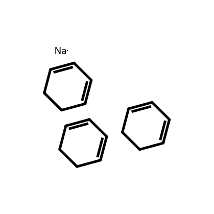 C1=CCCC=C1.C1=CCCC=C1.C1=CCCC=C1.[Na]